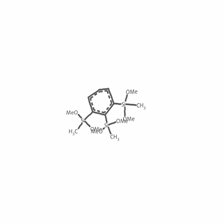 CO[Si](C)(OC)c1cccc([Si](C)(OC)OC)c1[Si](C)(OC)OC